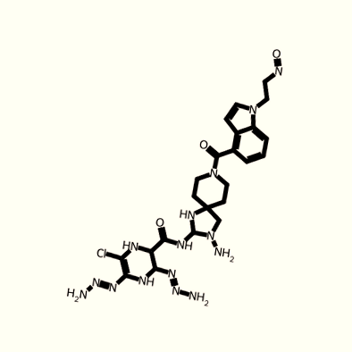 NN=NC1=C(Cl)NC(C(=O)NC2NC3(CCN(C(=O)c4cccc5c4ccn5CCN=O)CC3)CN2N)C(N=NN)N1